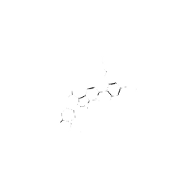 CCOCOc1cc(C(F)(F)F)cc(C)c1-c1ccc2c(C(F)F)n([C@H]3CCC(=O)N(C)C3)nc2n1